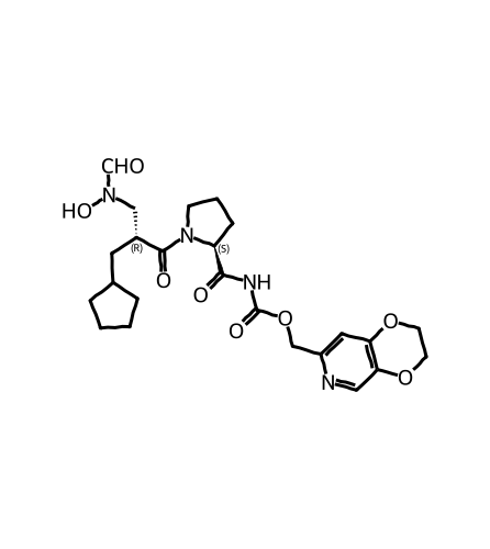 O=CN(O)C[C@@H](CC1CCCC1)C(=O)N1CCC[C@H]1C(=O)NC(=O)OCc1cc2c(cn1)OCCO2